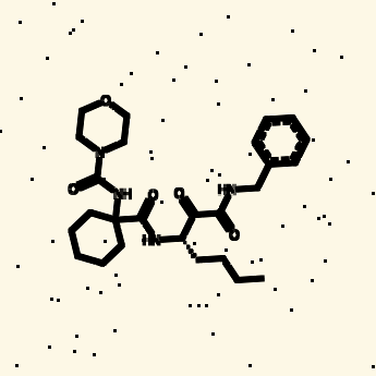 CCCC[C@H](NC(=O)C1(NC(=O)N2CCOCC2)CCCCC1)C(=O)C(=O)NCc1ccccc1